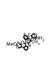 COc1ncc(-c2cccc3nc([C@@H](C)Nc4nc(N)ncc4C(F)(F)F)n(-c4ccccc4)c(=O)c23)cn1